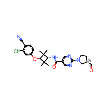 CC1(C)[C@H](NC(=O)c2cnc(N3CC[C@@H](C=O)C3)nc2)C(C)(C)[C@H]1Oc1ccc(C#N)c(Cl)c1